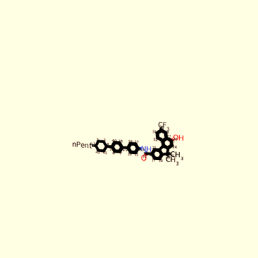 CCCCCC1CCC(c2ccc(-c3ccc(NC(=O)c4ccc5c(c4)-c4c(cc(O)c6cc(C(F)(F)F)ccc46)C5(C)C)cc3)cc2)CC1